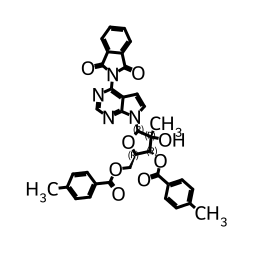 Cc1ccc(C(=O)OC[C@H]2O[C@@H](n3ccc4c(N5C(=O)c6ccccc6C5=O)ncnc43)[C@](C)(O)[C@@H]2OC(=O)c2ccc(C)cc2)cc1